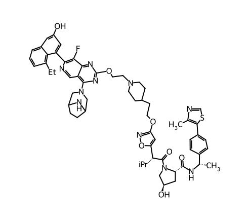 CCc1cccc2cc(O)cc(-c3ncc4c(N5CC6CCC(C5)N6)nc(OCCN5CCC(CCOc6cc([C@H](C(=O)N7C[C@H](O)C[C@H]7C(=O)N[C@@H](C)c7ccc(-c8scnc8C)cc7)C(C)C)on6)CC5)nc4c3F)c12